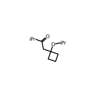 CC(C)OC1(CC(=O)C(C)C)CCC1